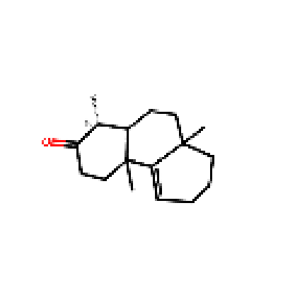 C[C@H]1C(=O)CCC2(C)C3=CCCCC3(C)CCC12